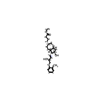 Cc1ccccc1OC[C@H](O)/C=C/[C@@H]1[C@H]2CC[C@H](CCCC(=O)OC(C)C)CO[C@H]2C[C@H]1O